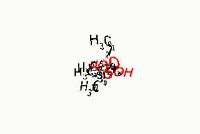 CCC[O][Zr]([OH])([OH])[O][Si](CC)(CC)CC